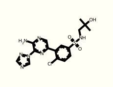 CC(C)(O)CNS(=O)(=O)c1ccc(Cl)c(-c2cnc(N)c(-n3cncn3)n2)c1